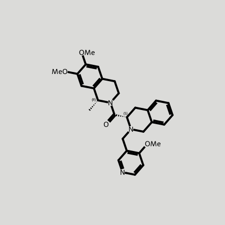 COc1ccncc1CN1Cc2ccccc2C[C@H]1C(=O)N1CCc2cc(OC)c(OC)cc2[C@H]1C